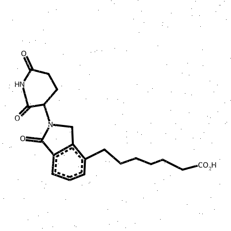 O=C(O)CCCCCCc1cccc2c1CN(C1CCC(=O)NC1=O)C2=O